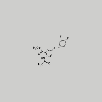 COC(=O)c1cc(OCc2ccc(F)c(F)c2)ccc1NC(C)=O